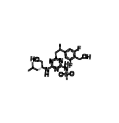 CC(C)C[C@H](CO)Nc1nc(CC(C)c2cc(F)c(CO)c(F)c2)nc(NS(C)(=O)=O)n1